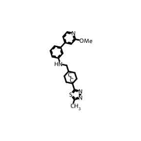 COc1cc(-c2cccc(NCC34CCC(c5nnc(C)s5)(CC3)CC4)c2)ccn1